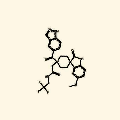 COc1ccc2c(n1)C1(CC[N+](CC(=O)NCC(F)(F)F)(C(=O)c3ccc4[nH]ncc4c3)CC1)C(=O)N2